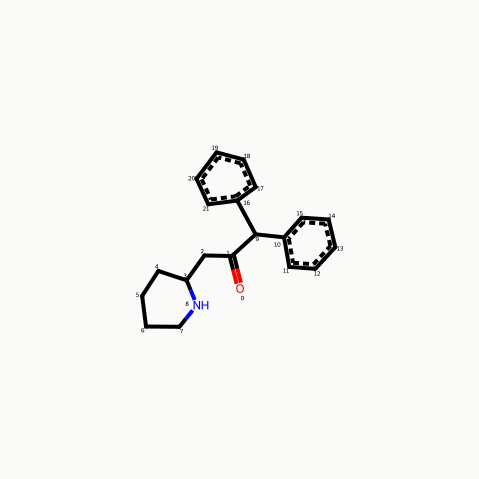 O=C(CC1CCCCN1)C(c1ccccc1)c1ccccc1